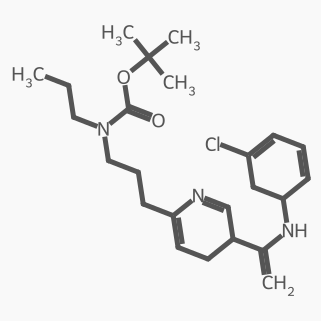 C=C(NC1C=CC=C(Cl)C1)C1C=NC(CCCN(CCC)C(=O)OC(C)(C)C)=CC1